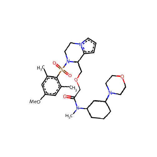 COc1cc(C)c(S(=O)(=O)N2CCn3cccc3C2COCC(=O)N(C)C2CCCC(N3CCOCC3)C2)c(C)c1